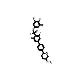 NC1CCC(c2ccc(-c3cc(F)c(C(F)(F)Oc4cc(F)c(F)c(F)c4)c(F)c3)cc2)OC1